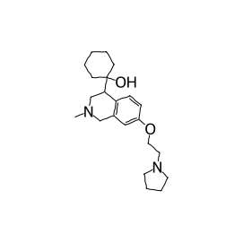 CN1Cc2cc(OCCN3CCCC3)ccc2C(C2(O)CCCCC2)C1